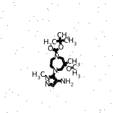 COC1(C)CN(C(=O)OC(C)(C)C)CCN(c2c(N)cnn2C)C1